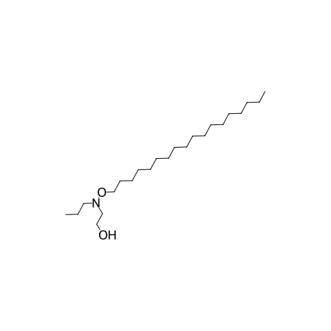 CCCCCCCCCCCCCCCCCCON(CCC)CCO